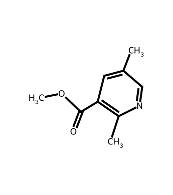 COC(=O)c1cc(C)cnc1C